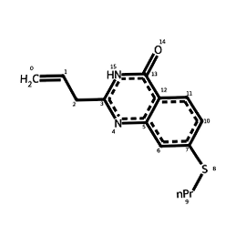 C=CCc1nc2cc(SCCC)ccc2c(=O)[nH]1